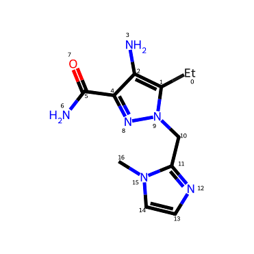 CCc1c(N)c(C(N)=O)nn1Cc1nccn1C